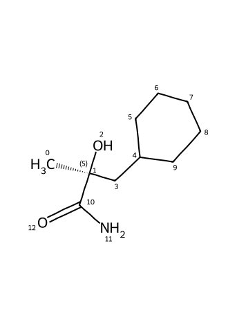 C[C@](O)(CC1CCCCC1)C(N)=O